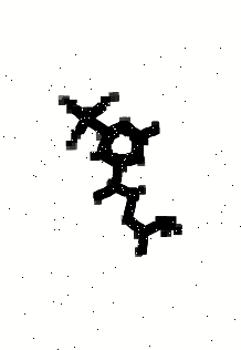 Cc1cc(C(C)OCC(C)N)cc(C(F)(F)F)c1